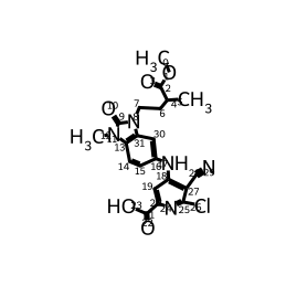 COC(=O)C(C)CCn1c(=O)n(C)c2ccc(Nc3cc(C(=O)O)nc(Cl)c3C#N)cc21